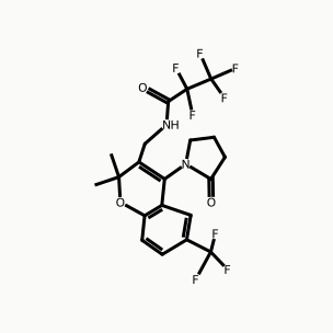 CC1(C)Oc2ccc(C(F)(F)F)cc2C(N2CCCC2=O)=C1CNC(=O)C(F)(F)C(F)(F)F